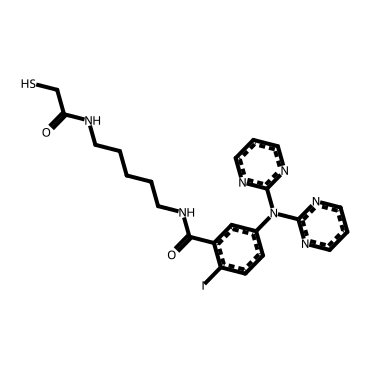 O=C(CS)NCCCCCNC(=O)c1cc(N(c2ncccn2)c2ncccn2)ccc1I